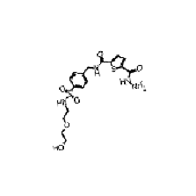 NNC(=O)c1ccc(C(=O)NCc2ccc(S(=O)(=O)NCCOCCO)cc2)s1